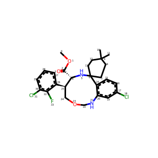 COC(=O)[C@@H]1NC2(CCC(C)(C)CC2)c2ccc(Cl)cc2NCOC[C@H]1c1cccc(Cl)c1F